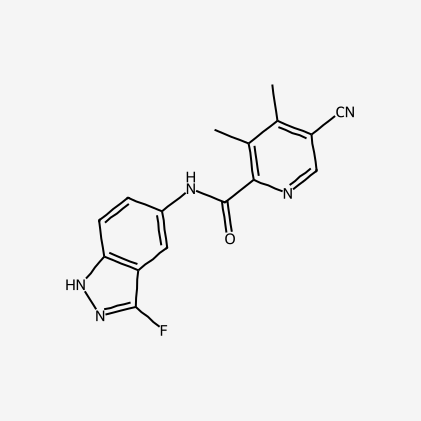 Cc1c(C#N)cnc(C(=O)Nc2ccc3[nH]nc(F)c3c2)c1C